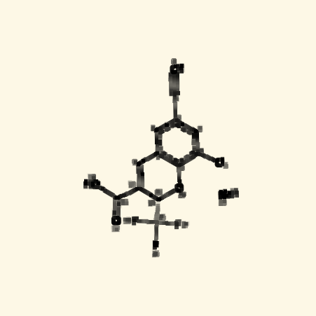 C#Cc1cc(Cl)c2c(c1)C=C(C(=O)O)[C@@H](C(F)(F)F)O2.[NaH]